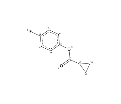 O=C(Oc1ccc(F)cc1)C1CC1